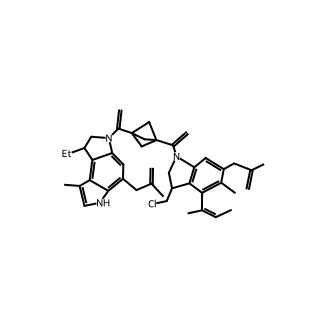 C=C(C)Cc1cc2c(c(/C(C)=C\C)c1C)C(CCl)CN2C(=C)C12CC(C(=C)N3CC(CC)c4c3cc(CC(=C)C)c3[nH]cc(C)c43)(C1)C2